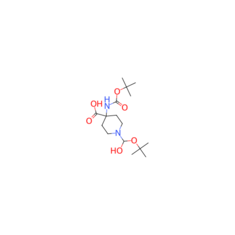 CC(C)(C)OC(=O)NC1(C(=O)O)CCN(C(O)OC(C)(C)C)CC1